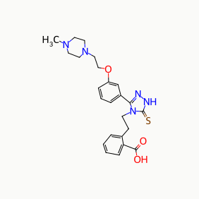 CN1CCN(CCOc2cccc(-c3n[nH]c(=S)n3CCc3ccccc3C(=O)O)c2)CC1